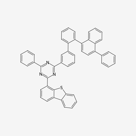 c1ccc(-c2nc(-c3cccc(-c4ccccc4-c4ccc(-c5ccccc5)c5ccccc45)c3)nc(-c3cccc4c3sc3ccccc34)n2)cc1